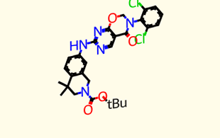 CC(C)(C)OC(=O)N1Cc2cc(Nc3ncc4c(n3)OCN(c3c(Cl)cccc3Cl)C4=O)ccc2C(C)(C)C1